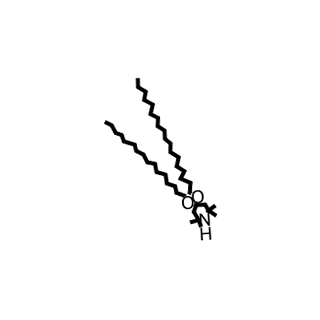 CCCCCCCCCCCCCCCCCCOC1(OCCCCCCCCCCCCCCCC)CC(C)(C)NC(C)(C)C1